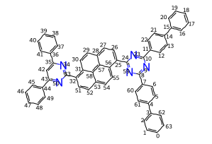 c1ccc(-c2ccc(-c3nc(-c4ccc(-c5ccccc5)cc4)nc(-c4ccc5ccc6c(-c7nc(-c8ccccc8)cc(-c8ccccc8)n7)ccc7ccc4c5c76)n3)cc2)cc1